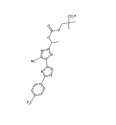 CC(OC(=O)OCC(C)(C)C(=O)O)n1nc(C#N)c(-c2csc(-c3ccc(C(F)(F)F)cc3)n2)n1